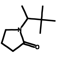 CC(N1CCCC1=O)C(C)(C)C